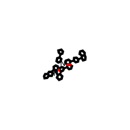 c1ccc(-c2cccc(N(c3ccc(-c4ccc(-c5cccc6ccccc56)cc4)cc3)c3ccc(-c4ccccc4-n4c5ccccc5c5cc6ccccc6cc54)cc3-c3ccccc3)c2)cc1